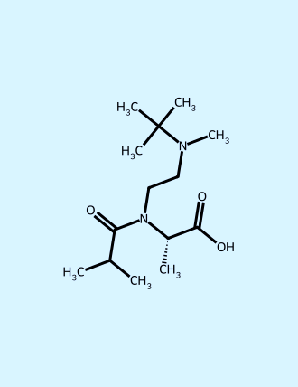 CC(C)C(=O)N(CCN(C)C(C)(C)C)[C@@H](C)C(=O)O